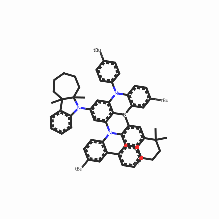 CC(C)C1CCC(C)(C)c2cc3c(cc21)N(c1ccc(C(C)(C)C)cc1-c1ccccc1)c1cc(N2c4ccccc4C4(C)CCCCCC24C)cc2c1B3c1cc(C(C)(C)C)ccc1N2c1ccc(C(C)(C)C)cc1